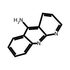 Nc1c2ccccc2nc2ncccc12